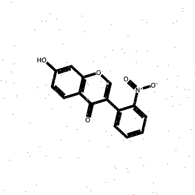 O=c1c(-c2ccccc2[N+](=O)[O-])coc2cc(O)ccc12